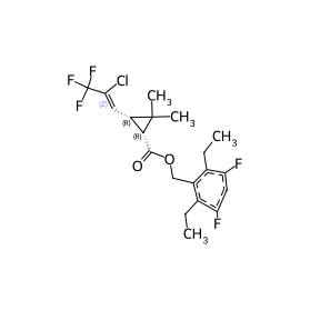 CCc1c(F)cc(F)c(CC)c1COC(=O)[C@@H]1[C@H](/C=C(\Cl)C(F)(F)F)C1(C)C